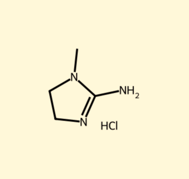 CN1CCN=C1N.Cl